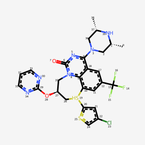 C[C@@H]1CN(c2nc(=O)n3c4c(cc(C(F)(F)F)cc24)[SH](c2cc(Cl)cs2)C[C@@H](Oc2ncccn2)C3)C[C@H](C)N1